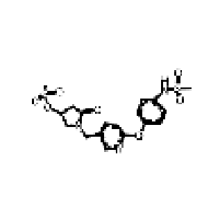 CS(=O)(=O)Nc1ccc(Oc2ccc(CN3CC(OS(C)(=O)=O)CC3=O)cn2)cc1